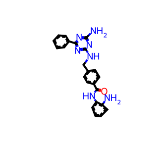 Nc1nc(NCc2ccc(C(=O)Nc3ccccc3N)cc2)nc(-c2ccccc2)n1